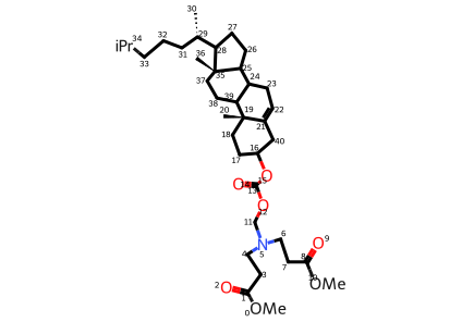 COC(=O)CCN(CCC(=O)OC)COC(=O)OC1CC[C@@]2(C)C(=CCC3C4CCC([C@@H](C)CCCC(C)C)[C@@]4(C)CCC32)C1